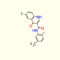 Cc1ccc(C(F)(F)F)cc1NC(=O)c1c[nH]c2ccc(F)cc2c1=O